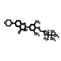 Cc1cc(-c2nc3ccc(N4CCOCC4)cc3c(=O)[nH]2)cc(C)c1OCCO[Si](C)(C)C(C)(C)C